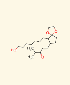 CC(C)C(=O)C=CC1CCC2(OCCO2)C1CCCCCCCO